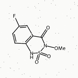 CON1C(=O)c2cc(F)ccc2NS1(=O)=O